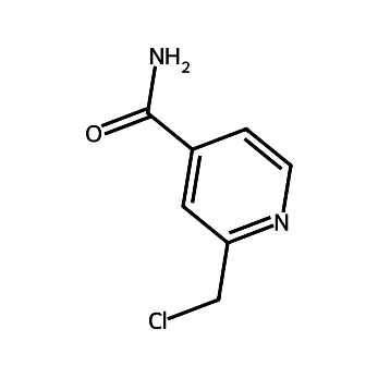 NC(=O)c1ccnc(CCl)c1